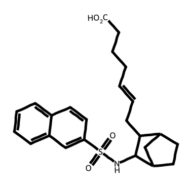 O=C(O)CCCC=CCC1C2CCC(C2)C1NS(=O)(=O)c1ccc2ccccc2c1